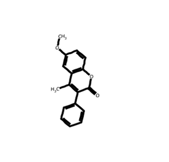 COc1ccc2oc(=O)c(-c3ccccc3)c(C)c2c1